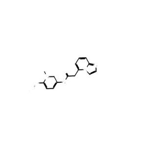 CN1CC(NC(=O)Cc2cccc3nccn23)=CC=C1OC(F)(F)F